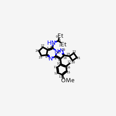 CCC(CC)Nc1c2c(nc3c(-c4ccc(OC)cc4C)c(C4CCC4)nn13)CCC2